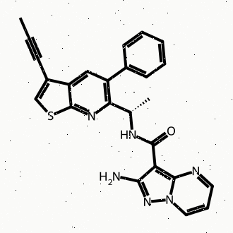 CC#Cc1csc2nc([C@H](C)NC(=O)c3c(N)nn4cccnc34)c(-c3ccccc3)cc12